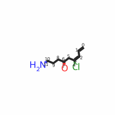 C=C/C=C(/Cl)CC(=O)CCCN